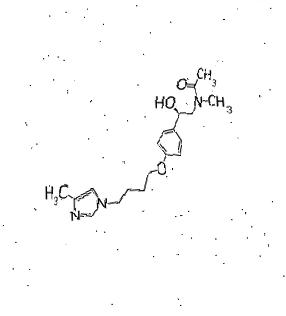 CC(=O)N(C)C[C@H](O)c1ccc(OCCCCn2cnc(C)c2)cc1